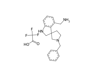 NCc1cccc2c1C1(CCN(Cc3ccccc3)C1)CN2.O=C(O)C(F)(F)F